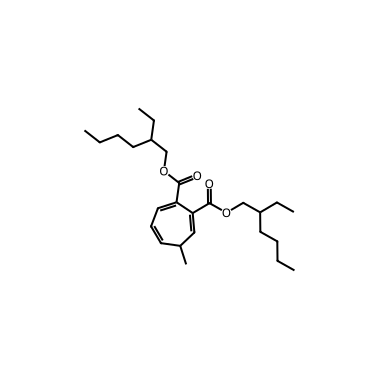 CCCCC(CC)COC(=O)C1=CC=CC(C)C=C1C(=O)OCC(CC)CCCC